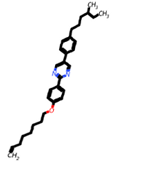 C=CCCCCCCOc1ccc(-c2ncc(-c3ccc(CCCC(C)CC)cc3)cn2)cc1